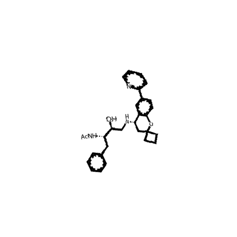 CC(=O)N[C@@H](Cc1ccccc1)[C@@H](O)CN[C@H]1CC2(CCC2)Oc2ccc(-c3ccccn3)cc21